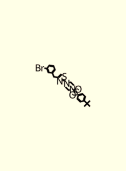 CC(C)(C)c1ccc(S(=O)(=O)N2CCN(c3nc(Cc4cccc(Br)c4)cs3)CC2)cc1